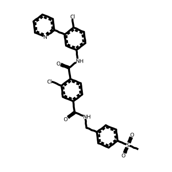 CS(=O)(=O)c1ccc(CNC(=O)c2ccc(C(=O)Nc3ccc(Cl)c(-c4ccccn4)c3)c(Cl)c2)cc1